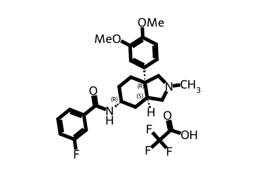 COc1ccc([C@@]23CC[C@@H](NC(=O)c4cccc(F)c4)C[C@@H]2CN(C)C3)cc1OC.O=C(O)C(F)(F)F